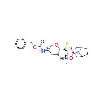 CC(C)(C)OC(=O)N1C2CCC1CN(c1ncc3c(c1F)OC[C@H](NC(=O)OCc1ccccc1)C3)C2